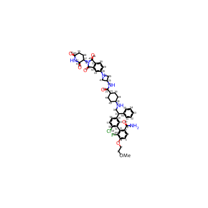 COCCOc1ccc(C(N)=O)c(-c2cc(C(CNC3CCC(C(=O)NC4CN(c5ccc6c(c5)C(=O)N(C5CCC(=O)NC5=O)C6=O)C4)CC3)c3ccccc3)ccc2Cl)c1F